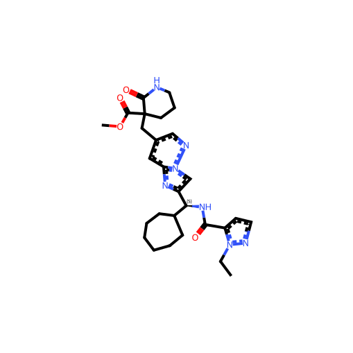 CCn1nccc1C(=O)N[C@H](c1cn2ncc(CC3(C(=O)OC)CCCNC3=O)cc2n1)C1CCCCCC1